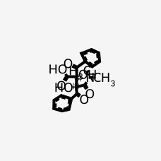 CN(C)C(=O)[C@@](O)(C(=O)c1ccccc1)[C@@](O)(C(=O)O)C(=O)c1ccccc1